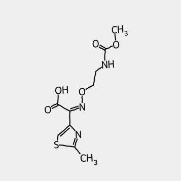 COC(=O)NCCO/N=C(\C(=O)O)c1csc(C)n1